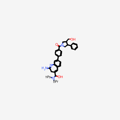 CCCN(CCC)C(O)C1=Cc2ccc(-c3ccc(C(=O)N4CC(CO)C(c5ccccc5)C4)cc3)cc2N=C(N)C1